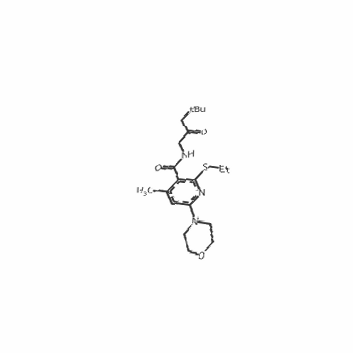 CCSc1nc(N2CCOCC2)cc(C)c1C(=O)NCC(=O)CC(C)(C)C